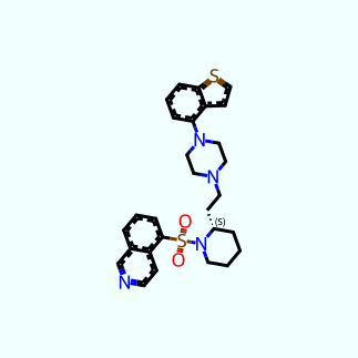 O=S(=O)(c1cccc2cnccc12)N1CCCC[C@H]1CCN1CCN(c2cccc3sccc23)CC1